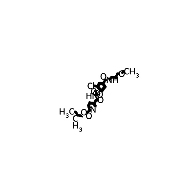 CCOCCCNC(=O)c1ccc(S(=O)(=O)NC(=O)c2ccc(C(=O)OCC(C)CC)nc2)c(Cl)c1